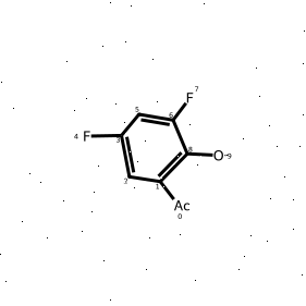 CC(=O)c1cc(F)cc(F)c1[O]